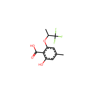 Cc1cc(O)c(C(=O)O)c(OC(C)C(F)(F)F)c1